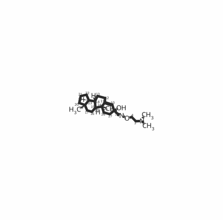 CN(C)CCON=CC1(O)C=C2CC[C@@H]3[C@@H](CC[C@]4(C)CCC[C@@H]34)[C@@]2(C)CC1